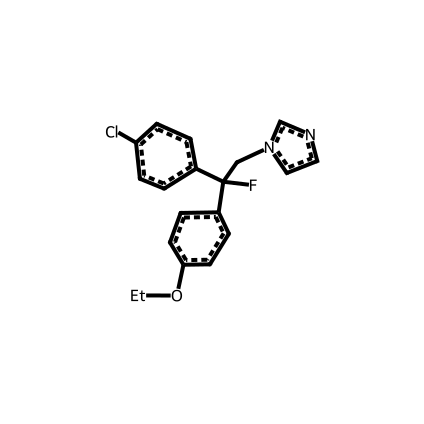 CCOc1ccc(C(F)(Cn2ccnc2)c2ccc(Cl)cc2)cc1